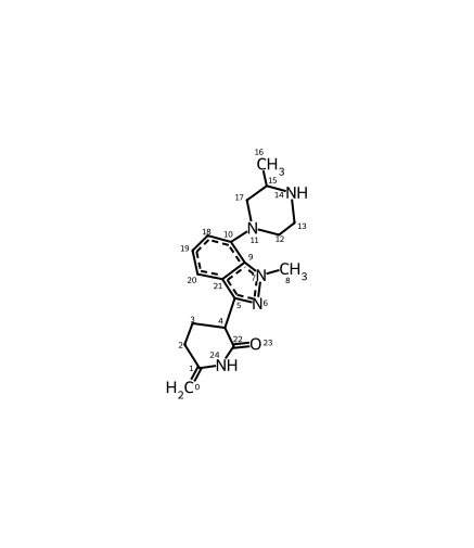 C=C1CCC(c2nn(C)c3c(N4CCNC(C)C4)cccc23)C(=O)N1